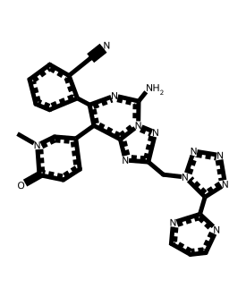 Cn1cc(-c2c(-c3ccccc3C#N)nc(N)n3nc(Cn4nnnc4-c4ncccn4)nc23)ccc1=O